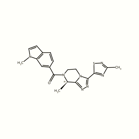 Cc1nsc(-c2nnc3n2CCN(C(=O)c2ccc4ccn(C)c4c2)[C@@H]3C)n1